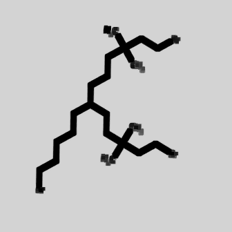 CC(C)(CCBr)CCCC(CCCCCBr)CCC(C)(C)CCBr